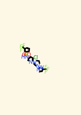 O=S(=O)(Nc1cnc(N2CCCN(c3nccc(C(F)(F)F)n3)CC2)c(Cl)c1)c1cccc(C(F)(F)F)c1